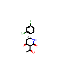 CC(=O)C1C(=O)C[C@H](c2ccc(F)cc2Br)NC1=O